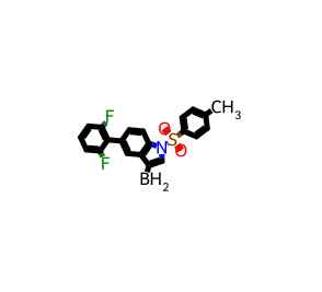 Bc1cn(S(=O)(=O)c2ccc(C)cc2)c2ccc(-c3c(F)cccc3F)cc12